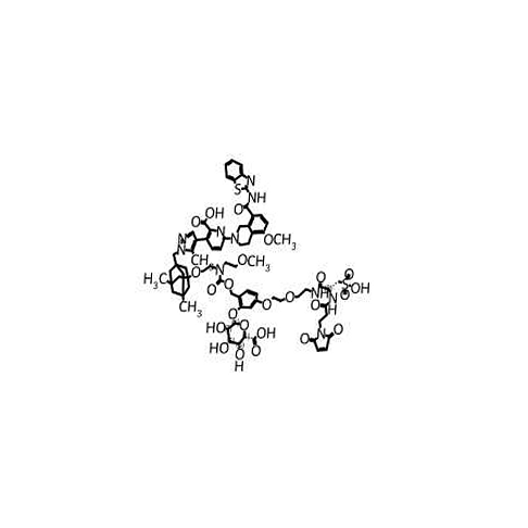 COCCN(CCOC12CC3(C)CC(C)(CC(Cn4ncc(-c5ccc(N6CCc7c(OC)ccc(C(=O)Nc8nc9ccccc9s8)c7C6)nc5C(=O)O)c4C)(C3)C1)C2)C(=O)OCc1ccc(OCCOCCNC(=O)[C@H](CS(=O)(=O)O)NC(=O)CCN2C(=O)C=CC2=O)cc1O[C@@H]1O[C@H](C(=O)O)[C@@H](O)[C@H](O)[C@H]1O